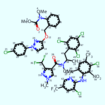 COC(=O)N(OC)c1ccccc1COc1ccn(-c2ccc(Cl)cc2)n1.CON(C(=O)c1cn(C)nc1C(F)F)C(C)Cc1c(Cl)cc(Cl)cc1Cl.O=[N+]([O-])c1cc(C(F)(F)F)c(Cl)c([N+](=O)[O-])c1Nc1ncc(C(F)(F)F)cc1Cl